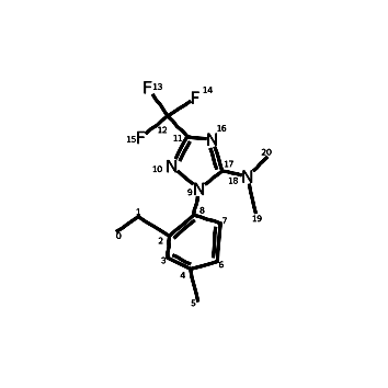 CCc1cc(C)ccc1-n1nc(C(F)(F)F)nc1N(C)C